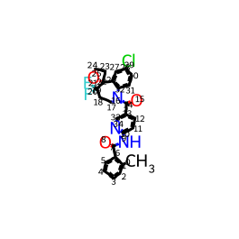 Cc1ccccc1C(=O)Nc1ccc(C(=O)N2CCC(F)(F)C3(CCO3)c3cc(Cl)ccc32)cn1